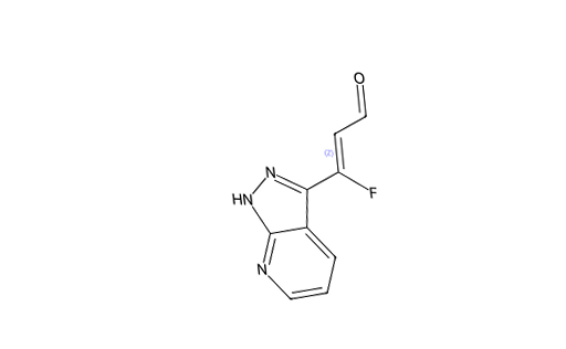 O=C/C=C(\F)c1n[nH]c2ncccc12